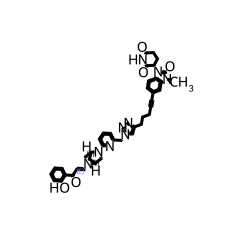 Cn1c(=O)n(C2CCC(=O)NC2=O)c2ccc(C#CCCCc3cn(Cc4cccc(N5C[C@H]6C[C@@H]5CN6/C=C/C(=O)c5ccccc5O)n4)nn3)cc21